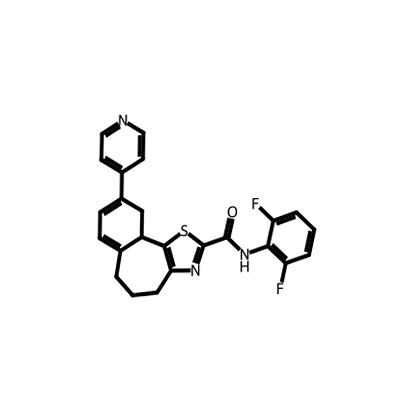 O=C(Nc1c(F)cccc1F)c1nc2c(s1)C1CC(c3ccncc3)=CC=C1CCC2